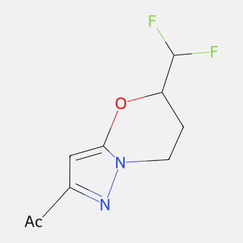 CC(=O)c1cc2n(n1)CCC(C(F)F)O2